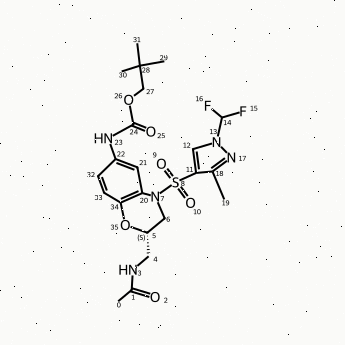 CC(=O)NC[C@H]1CN(S(=O)(=O)c2cn(C(F)F)nc2C)c2cc(NC(=O)OCC(C)(C)C)ccc2O1